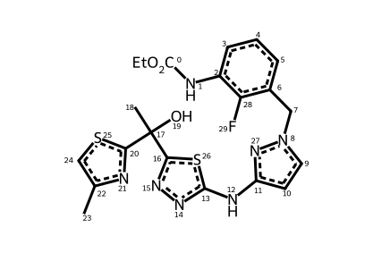 CCOC(=O)Nc1cccc(Cn2ccc(Nc3nnc(C(C)(O)c4nc(C)cs4)s3)n2)c1F